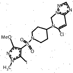 COc1nn(C)c(I)c1S(=O)(=O)N1CCC(N2Cn3ncnc3C=C2Cl)CC1